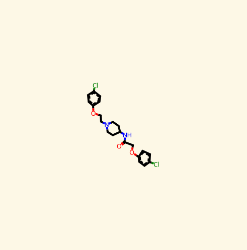 O=C(COc1ccc(Cl)cc1)NC1CCN(CCOc2ccc(Cl)cc2)CC1